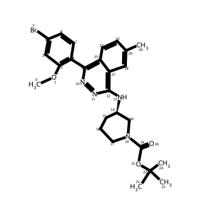 COc1cc(Br)ccc1-c1nnc(N[C@@H]2CCCN(C(=O)OC(C)(C)C)C2)c2cc(C)ccc12